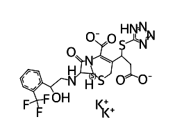 O=C([O-])CC(Sc1nnn[nH]1)C1=C(C(=O)[O-])N2C(=O)C(NCC(O)c3ccccc3C(F)(F)F)[C@@H]2SC1.[K+].[K+]